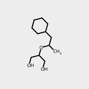 CC(CC1CCCCC1)OC(CO)CO